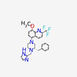 COc1ccc(N2CCN(Cc3ncc[nH]3)[C@@H](Cc3ccccc3)C2)c2ccc(C(F)(F)F)nc12